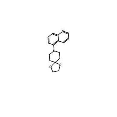 c1cc(N2CCC3(CC2)OCCO3)c2cccnc2c1